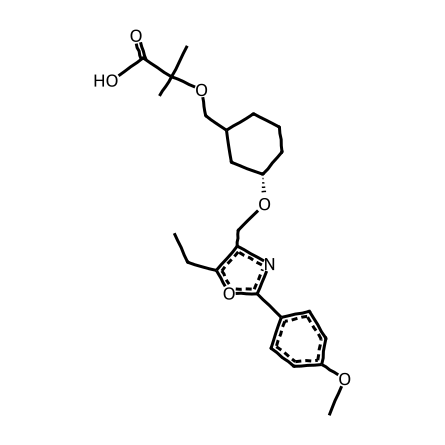 CCc1oc(-c2ccc(OC)cc2)nc1CO[C@H]1CCCC(COC(C)(C)C(=O)O)C1